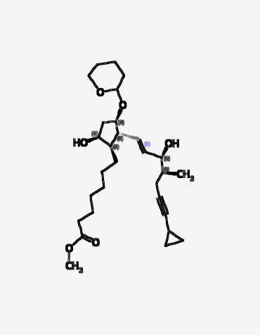 COC(=O)CCCCCC[C@@H]1[C@@H](/C=C/[C@@H](O)[C@@H](C)CC#CC2CC2)[C@H](OC2CCCCO2)C[C@@H]1O